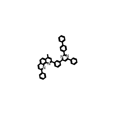 Cc1cc(-c2cccc(-c3cc(-c4ccccc4)nc(-c4ccc(-c5ccccc5)cc4)n3)c2)nc2c1ccc1ccc(-c3ccccc3)nc12